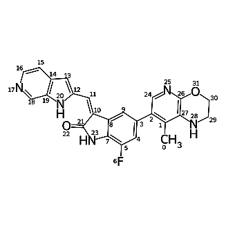 Cc1c(-c2cc(F)c3c(c2)/C(=C/c2cc4ccncc4[nH]2)C(=O)N3)cnc2c1NCCO2